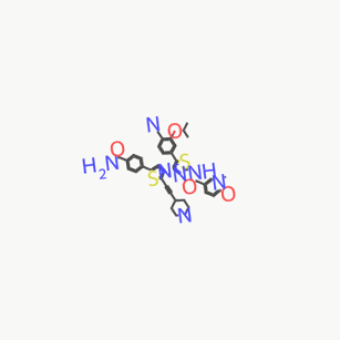 CC(C)Oc1cc(-c2sc(NC(=O)c3ccc(=O)n(C)c3)nc2-[n+]2cc(-c3ccc(C(N)=O)cc3)sc2C#CC2CCN(C)CC2)ccc1C#N